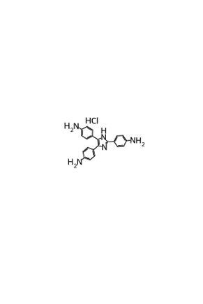 Cl.Nc1ccc(-c2nc(-c3ccc(N)cc3)c(-c3ccc(N)cc3)[nH]2)cc1